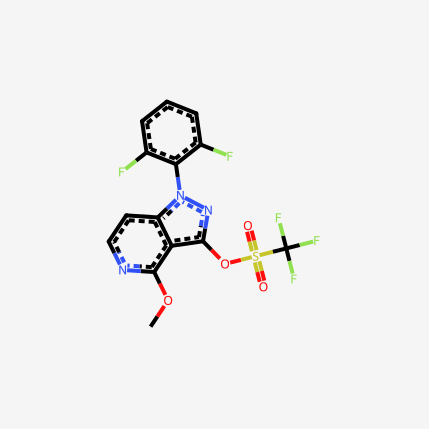 COc1nccc2c1c(OS(=O)(=O)C(F)(F)F)nn2-c1c(F)cccc1F